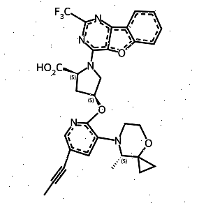 CC#Cc1cnc(O[C@H]2C[C@@H](C(=O)O)N(c3nc(C(F)(F)F)nc4c3oc3ccccc34)C2)c(N2CCOC3(CC3)[C@@H]2C)c1